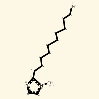 CC(C)CCCCCCCCCCc1[nH]cc[n+]1C